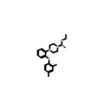 CCO[C@@H](C)N1CCN(c2ccccc2Sc2ccc(C)cc2C)CC1